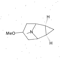 COC1CC2[C@H]3C[C@H]3C(C1)N2C